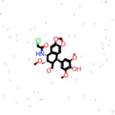 COC[C@H]1C(C=O)C(c2cc(OC)c(O)c(OC)c2)c2cc3c(cc2[C@H]1NC(=O)CCl)OCO3